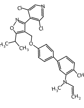 C=CN(C)c1cc(-c2ccc(OCc3c(-c4c(Cl)cncc4Cl)noc3C(C)C)cc2)ccc1C